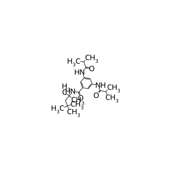 CC(C)C(=O)Nc1cc(NC(=O)C(C)C)cc(C(=O)NC(C)(C)CC(C)(C)C)c1